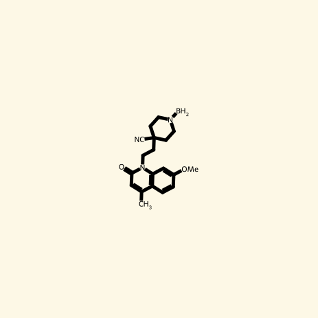 BN1CCC(C#N)(CCn2c(=O)cc(C)c3ccc(OC)cc32)CC1